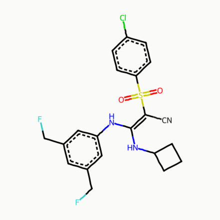 N#CC(=C(Nc1cc(CF)cc(CF)c1)NC1CCC1)S(=O)(=O)c1ccc(Cl)cc1